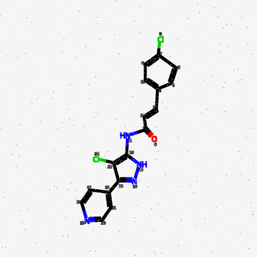 O=C(C=Cc1ccc(Cl)cc1)Nc1[nH]nc(-c2ccncc2)c1Cl